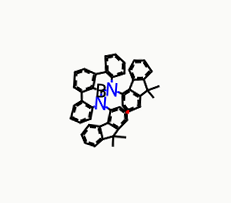 CC1(C)c2ccccc2-c2c(N3B4c5c(cccc5-c5ccccc5N4c4cccc5c4-c4ccccc4C5(C)C)-c4ccccc43)cccc21